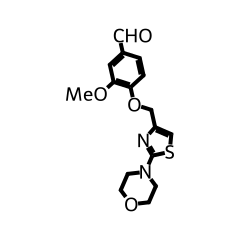 COc1cc(C=O)ccc1OCc1csc(N2CCOCC2)n1